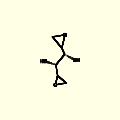 O[C@@H](C1CO1)[C@@H](O)C1CO1